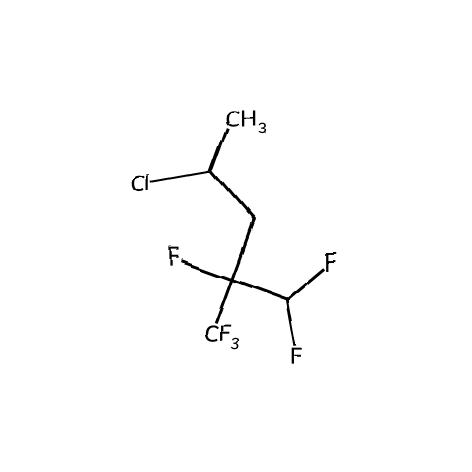 CC(Cl)CC(F)(C(F)F)C(F)(F)F